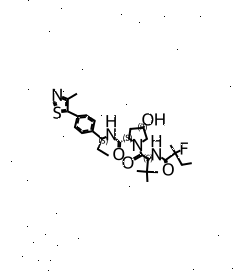 CC[C@H](NC(=O)[C@@H]1C[C@@H](O)CN1C(=O)[C@@H](NC(=O)C(C)(F)CC)C(C)(C)C)c1ccc(-c2scnc2C)cc1